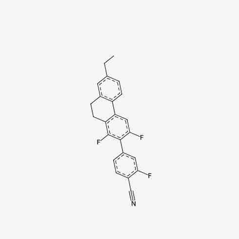 CCc1ccc2c(c1)CCc1c-2cc(F)c(-c2ccc(C#N)c(F)c2)c1F